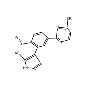 CC(C)Oc1ccc(-c2nccc(C(F)(F)F)n2)cc1-c1nn[nH]c1C#N